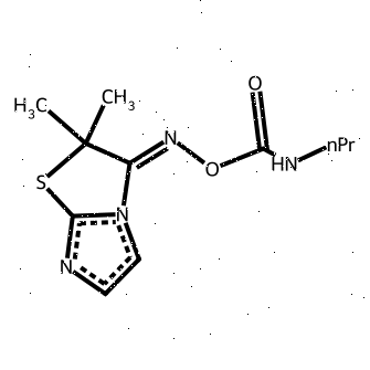 CCCNC(=O)ON=C1n2ccnc2SC1(C)C